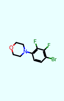 Fc1c(Br)ccc(N2CCOCC2)c1F